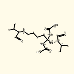 CC(C)C(C=O)NCCCCC(NC(=O)O)(NC(=O)O)N[C@H](C=O)C(C)C